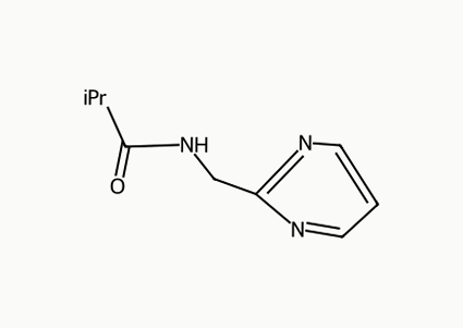 CC(C)C(=O)NCc1ncccn1